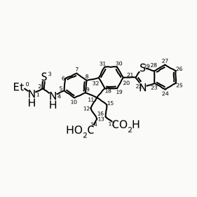 CCNC(=S)Nc1ccc2c(c1)C(CCC(=O)O)(CCC(=O)O)c1cc(-c3nc4ccccc4s3)ccc1-2